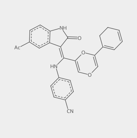 CC(=O)c1ccc2c(c1)C(=C(Nc1ccc(C#N)cc1)C1=COC=C(C3=CC=CCC3)O1)C(=O)N2